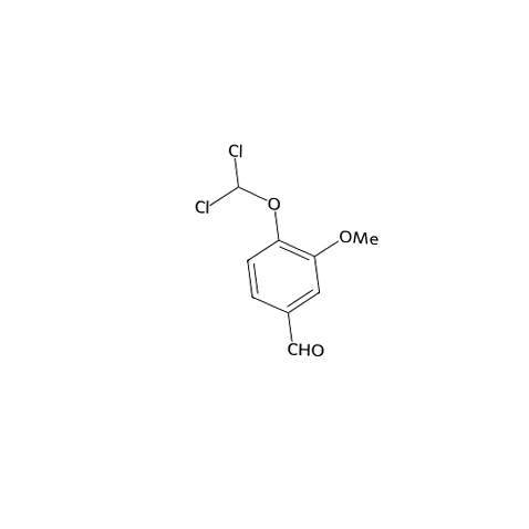 COc1cc(C=O)ccc1OC(Cl)Cl